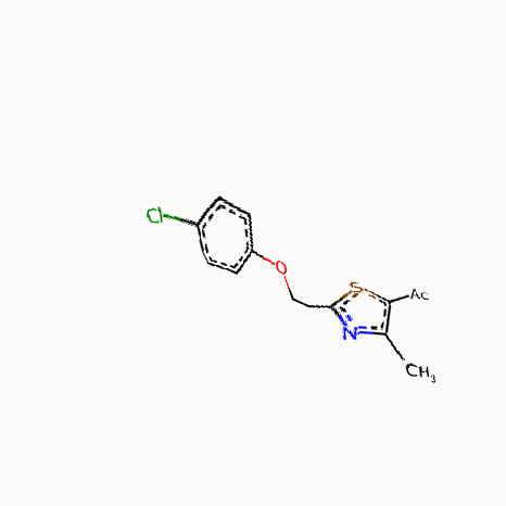 CC(=O)c1sc(COc2ccc(Cl)cc2)nc1C